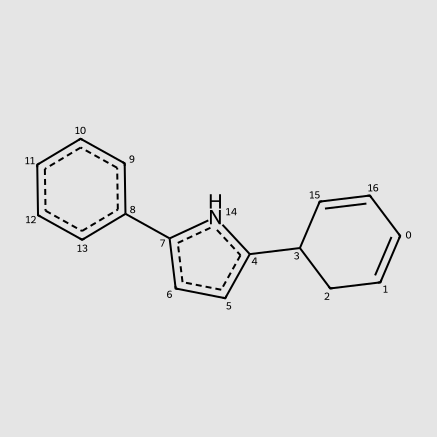 C1=CCC(c2ccc(-c3ccccc3)[nH]2)C=C1